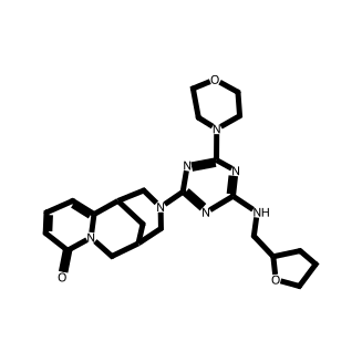 O=c1cccc2n1CC1CC2CN(c2nc(NCC3CCCO3)nc(N3CCOCC3)n2)C1